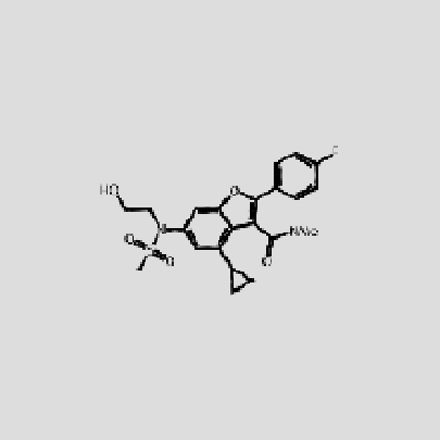 CNC(=O)c1c(-c2ccc(F)cc2)oc2cc(N(CCO)S(C)(=O)=O)cc(C3CC3)c12